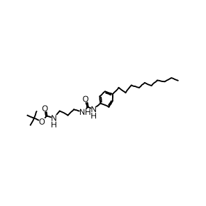 CCCCCCCCCCc1ccc(NC(=O)NCCCNC(=O)OC(C)(C)C)cc1